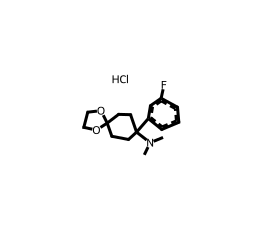 CN(C)C1(c2cccc(F)c2)CCC2(CC1)OCCO2.Cl